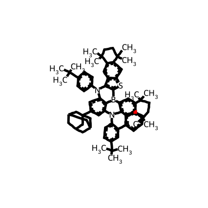 CC(C)(C)c1ccc(N2c3cc(C45CC6CC(CC(C6)C4)C5)cc4c3B(c3cc5c(cc3N4c3ccc(C(C)(C)C)cc3-c3ccccc3)C(C)(C)CCC5(C)C)c3sc4cc5c(cc4c32)C(C)(C)CCC5(C)C)cc1